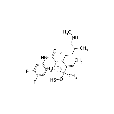 C=C(Nc1ccc(F)c(F)c1)/C(C)=C(CCC(C)CNC)/C(=C\C)C(C)(C)OS